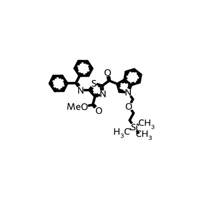 COC(=O)c1nc(C(=O)c2cn(COCC[Si](C)(C)C)c3ccccc23)sc1N=C(c1ccccc1)c1ccccc1